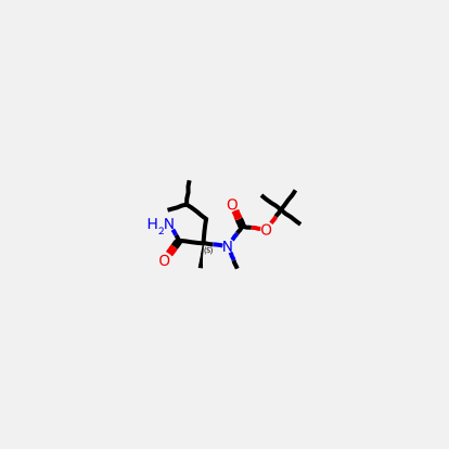 CC(C)C[C@@](C)(C(N)=O)N(C)C(=O)OC(C)(C)C